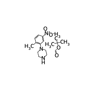 CC(C)(C)OC=O.Cc1ccc([N+](=O)[O-])cc1N1CCNCC1